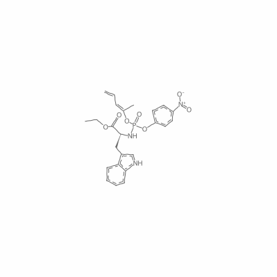 C=C/C=C(\C)OP(=O)(N[C@@H](Cc1c[nH]c2ccccc12)C(=O)OCC)Oc1ccc([N+](=O)[O-])cc1